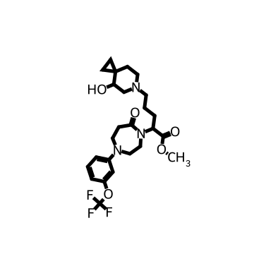 COC(=O)C(CCCN1CCC2(CC2)C(O)C1)N1CCN(c2cccc(OC(F)(F)F)c2)CCC1=O